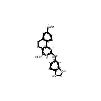 COc1ccc2c(c1)CCc1cnc(Nc3ccc4c(c3)OCO4)nc1-2.Cl